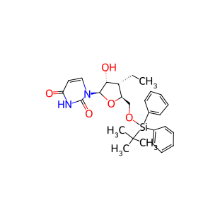 CC[C@H]1[C@@H](O)[C@H](n2ccc(=O)[nH]c2=O)O[C@@H]1CO[Si](c1ccccc1)(c1ccccc1)C(C)(C)C